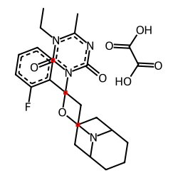 CCn1c(C)nc(=O)n(CCCN2C3CCCC2CC(OCc2ccccc2F)C3)c1=O.O=C(O)C(=O)O